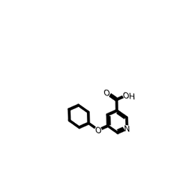 O=C(O)c1cncc(OC2CCCCC2)c1